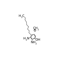 C=O.CCCCCCCCCc1ccc(O)c(N)c1N